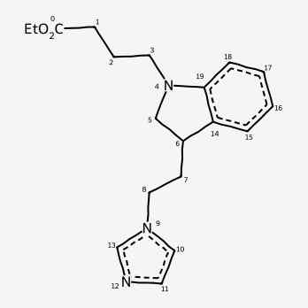 CCOC(=O)CCCN1CC(CCn2ccnc2)c2ccccc21